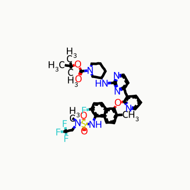 Cc1ccc2c(NS(=O)(=O)N(C)CC(F)(F)F)c(F)ccc2c1Oc1ncccc1-c1ccnc(N[C@H]2CCCN(C(=O)OC(C)(C)C)C2)n1